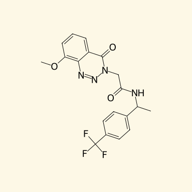 COc1cccc2c(=O)n(CC(=O)NC(C)c3ccc(C(F)(F)F)cc3)nnc12